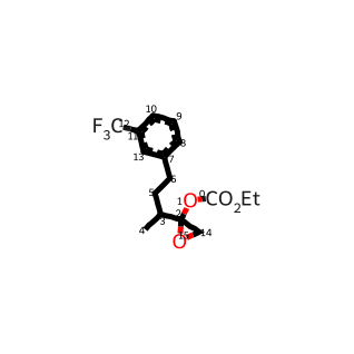 CCOC(=O)OC1(C(C)CCc2cccc(C(F)(F)F)c2)CO1